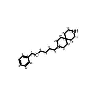 c1ccc(COCCCCN2CCC3(CCNCC3)CC2)cc1